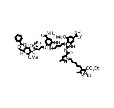 CCOC(=O)c1c(CCCCCn2nc(C)cc2C(=O)/N=c2\[nH]c3cc(C(N)=O)cc(OC)c3n2C/C=C/CNc2c(N)cc(C(N)=O)cc2OCCCO[C@@H]2C(O[Si](C)(C)C(C)(C)C)[C@@H]3OC(c4ccccc4)OC[C@H]3O[C@@H]2OC)c(C)nn1CC